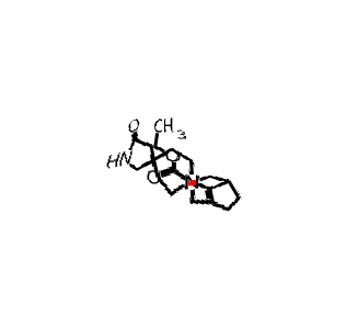 CCOC(=O)N1CC2=C(N3CCC4(CC3)CNC(=O)C4)C(CC2)C1